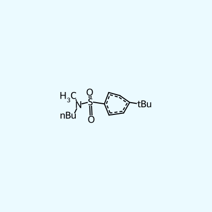 CCCCN(C)S(=O)(=O)c1ccc(C(C)(C)C)cc1